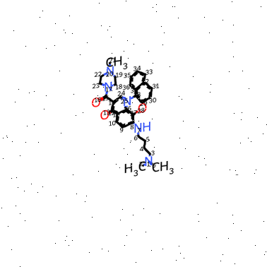 CN(C)CCCCNc1ccc2c(=O)c(C(=O)N3CCN(C)CC3)cn3c2c1Oc1ccc2ccccc2c1-3